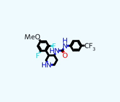 COc1cc(F)c(C2CNCCC2NC(=O)Nc2ccc(C(F)(F)F)cc2)c(F)c1